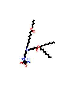 CCCCCCCCC(CCCCCCCC)OC(=O)CCCCN(CCCCCCCCCC(=O)OCCCCC)CCCCNc1c(NC)c(=O)c1=O